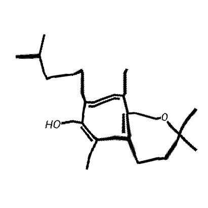 Cc1c(O)c(CCC(C)C)c(C)c2c1CCC(C)(C)O2